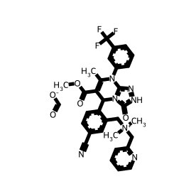 COC(=O)C1=C(C)N(c2cccc(C(F)(F)F)c2)c2n[nH]c(=O)n2C1c1ccc(C#N)cc1C[N+](C)(C)Cc1ccccn1.O=C[O-]